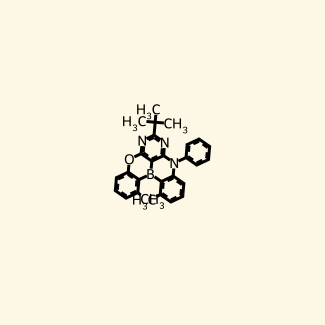 Cc1cccc2c1B1c3c(C)cccc3N(c3ccccc3)c3nc(C(C)(C)C)nc(c31)O2